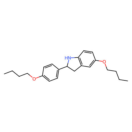 CCCCOc1ccc(C2Cc3cc(OCCCC)ccc3N2)cc1